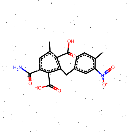 Cc1ccc(Cc2c(C(=O)O)c(C)cc(C(N)=O)c2C(=O)O)cc1[N+](=O)[O-]